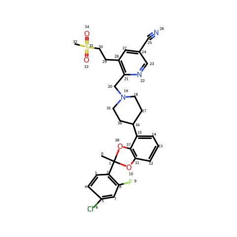 CC1(c2ccc(Cl)cc2F)Oc2cccc(C3CCN(Cc4ncc(C#N)cc4CCS(C)(=O)=O)CC3)c2O1